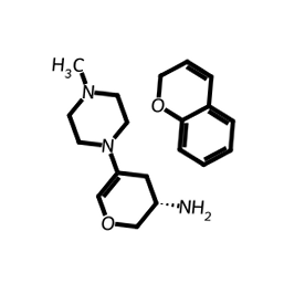 C1=Cc2ccccc2OC1.CN1CCN(C2=COC[C@@H](N)C2)CC1